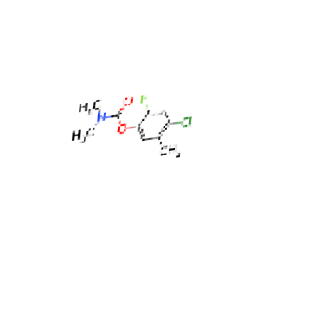 Cc1cc(OC(=O)N(C)C)c(F)cc1Cl